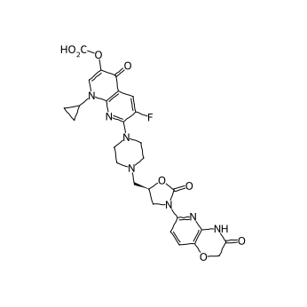 O=C1COc2ccc(N3C[C@@H](CN4CCN(c5nc6c(cc5F)c(=O)c(OC(=O)O)cn6C5CC5)CC4)OC3=O)nc2N1